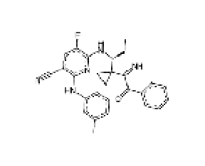 CC[C@H](Nc1nc(Nc2cccc(C)c2)c(C#N)cc1F)C1(C(=N)C(=O)c2ccccc2)CC1